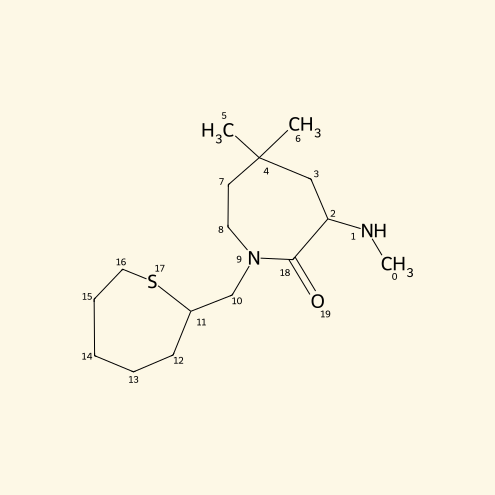 CNC1CC(C)(C)CCN(CC2CCCCCS2)C1=O